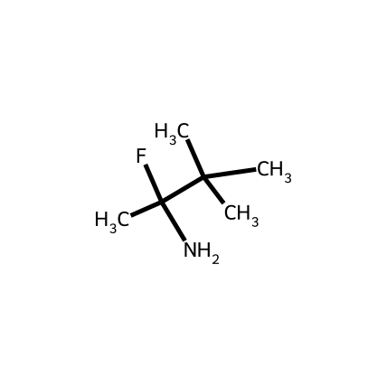 CC(C)(C)C(C)(N)F